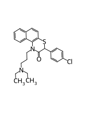 CCN(CC)CCCN1C(=O)C(c2ccc(Cl)cc2)Sc2ccc3ccccc3c21